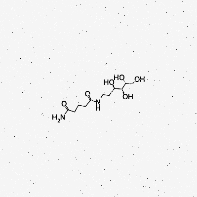 NC(=O)CCCC(=O)NCC[C@@H](O)[C@H](O)[C@H](O)CO